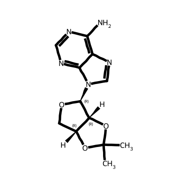 CC1(C)O[C@H]2[C@H](n3cnc4c(N)ncnc43)OC[C@H]2O1